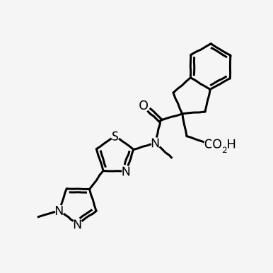 CN(C(=O)C1(CC(=O)O)Cc2ccccc2C1)c1nc(-c2cnn(C)c2)cs1